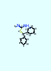 C/N=C(/N)SC(c1ccccc1)c1ccccc1